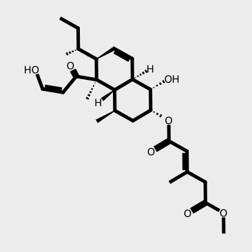 CC[C@@H](C)[C@H]1C=C[C@H]2[C@H](O)[C@H](OC(=O)/C=C(\C)CC(=O)OC)C[C@@H](C)[C@@H]2[C@@]1(C)C(=O)/C=C\O